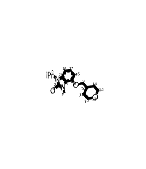 CC(C)n1c(=O)n(C)c2c(OCC3CCOCC3)cccc21